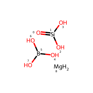 O=[Si](O)O.OB(O)O.[MgH2]